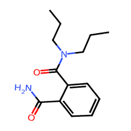 CCCN(CCC)C(=O)c1ccccc1C(N)=O